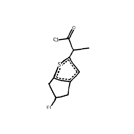 CCC1Cc2cc(C(C)C(=O)Cl)sc2C1